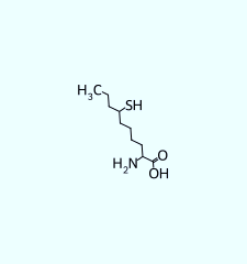 CCCC(S)CCCCC(N)C(=O)O